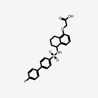 O=C(O)COc1cccc2c1CCCC2NS(=O)(=O)c1ccc(-c2ccc(F)cc2)cc1